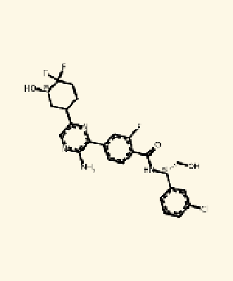 Nc1ncc(C2CCC(F)(F)[C@H](O)C2)nc1-c1ccc(C(=O)N[C@H](CO)c2cccc(Cl)c2)c(F)c1